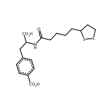 O=C(CCCCC1CCSS1)NC(Cc1ccc(C(=O)O)cc1)C(=O)O